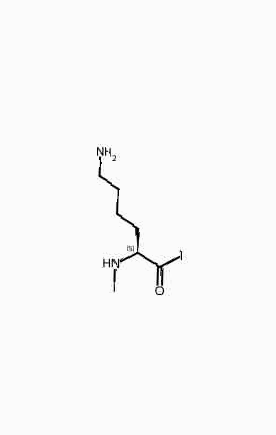 NCCCC[C@H](NI)C(=O)I